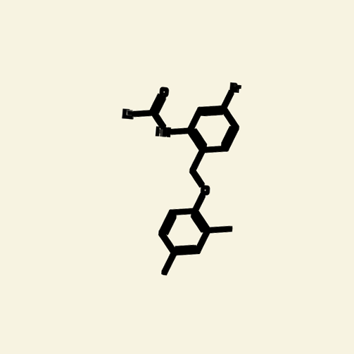 CCC(=O)Nc1cc(Br)ccc1COc1ccc(C)cc1C